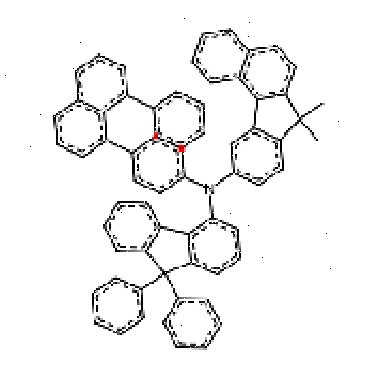 CC1(C)c2ccc(N(c3ccc(-c4cccc5cccc(-c6ccccc6)c45)cc3)c3cccc4c3-c3ccccc3C4(c3ccccc3)c3ccccc3)cc2-c2c1ccc1ccccc21